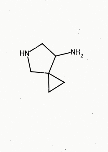 NC1CNCC12CC2